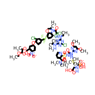 CC1COc2ccccc2N1C(=O)C(Cl)Cl.CCNc1nc(Cl)nc(NC(C)C)n1.CCOC(=O)C(C)OC(=O)c1cc(Oc2ccc(C(F)(F)F)cc2Cl)ccc1[N+](=O)[O-].COc1cc(OC)nc(NC(=O)NS(=O)(=O)c2ncccc2C(=O)N(C)C)n1.C[S+](C)C.O=C(O)CNCP(=O)([O-])O